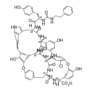 O=C(NCCc1ccccc1)N[C@H](Cc1ccc(O)cc1)C(=O)N[C@@H]1Cc2c[nH]c3cc(ccc23)-c2cc3cc(c2O)Oc2ccc(cc2)C[C@@H]2NC(=O)[C@H](NC(=O)[C@@H]3NC(=O)[C@@H](c3cc(O)cc(O)c3)NC1=O)c1ccc(c(Cl)c1)Oc1cc(ccc1O)[C@H](C(=O)O)NC2=O